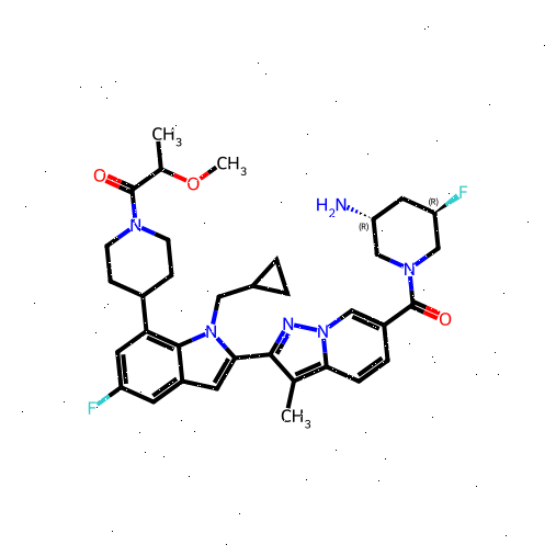 COC(C)C(=O)N1CCC(c2cc(F)cc3cc(-c4nn5cc(C(=O)N6C[C@H](N)C[C@@H](F)C6)ccc5c4C)n(CC4CC4)c23)CC1